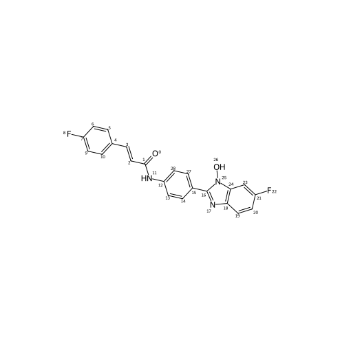 O=C(C=Cc1ccc(F)cc1)Nc1ccc(-c2nc3ccc(F)cc3n2O)cc1